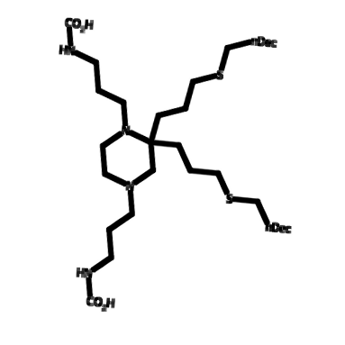 CCCCCCCCCCCSCCCC1(CCCSCCCCCCCCCCC)CN(CCCNC(=O)O)CCN1CCCNC(=O)O